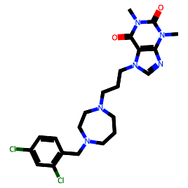 Cn1c(=O)c2c(ncn2CCCN2CCCN(Cc3ccc(Cl)cc3Cl)CC2)n(C)c1=O